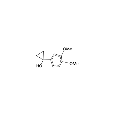 COc1ccc(C2(O)CC2)cc1OC